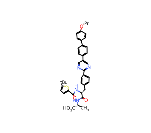 CC(C)Oc1ccc(-c2ccc(-c3cnc(-c4ccc(C[C@H](NC(=O)c5ccc(C(C)(C)C)s5)C(=O)N[C@H](C)C(=O)O)cc4)nc3)cc2)cc1